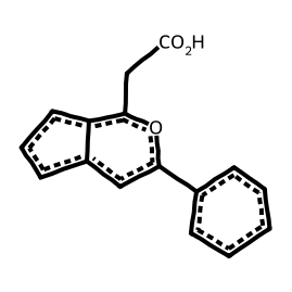 O=C(O)Cc1oc(-c2ccccc2)cc2cccc1-2